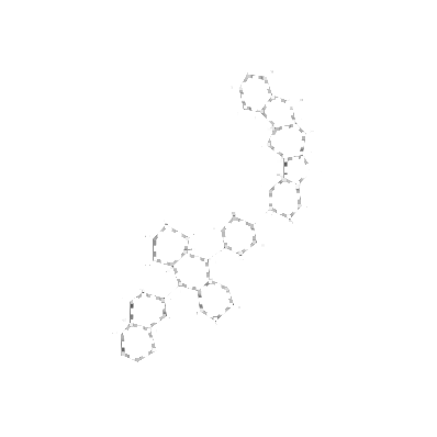 c1ccc2cc(-c3c4ccccc4c(-c4ccc(-c5ccc6oc7cc8sc9ccccc9c8cc7c6c5)cc4)c4ccccc34)ccc2c1